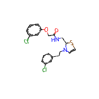 O=C(COc1cccc(Cl)c1)NCC1SC=CN1CCc1cccc(Cl)c1